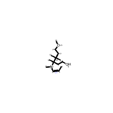 C/C=C\N(C)C(C)(CCO)C(C)(C)CCOC